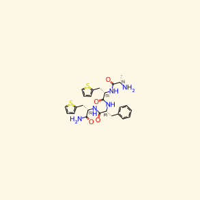 C[C@H](N)C(=O)N[C@@H](Cc1cccs1)C(=O)N[C@H](Cc1ccccc1)C(=O)N[C@@H](Cc1cccs1)C(N)=O